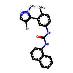 COc1ccc(NC(=O)Nc2cccc3ccccc23)cc1-c1c(Br)cnn1C